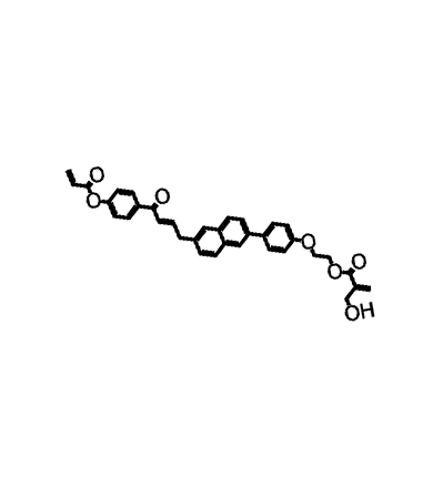 C=CC(=O)Oc1ccc(C(=O)/C=C/Cc2ccc3cc(-c4ccc(OCCOC(=O)C(=C)CO)cc4)ccc3c2)cc1